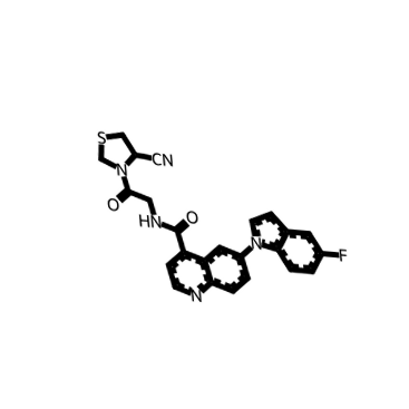 N#CC1CSCN1C(=O)CNC(=O)c1ccnc2ccc(-n3ccc4cc(F)ccc43)cc12